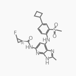 Cc1nc2c(Nc3ccc(C4CCC4)cc3S(C)(=O)=O)cc(NC(=O)[C@H]3CC3F)nc2[nH]1